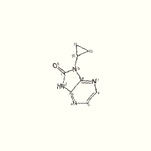 O=c1[nH]c2nccnc2n1C1CC1